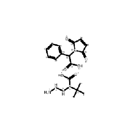 CC(C)(C)N(NNN)C(=O)O.O=C(O)C(c1ccccc1)N1C(=O)C=CC1=O